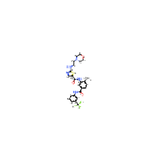 Cc1ccc(C(=O)Nc2cccc(C(F)(F)F)c2)cc1NC(=O)c1cnc(NCCN2CCOCC2)s1